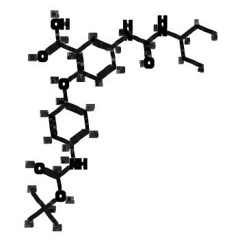 CCC(CC)NC(=O)Nc1ccc(Oc2ccc(NC(=O)OC(C)(C)C)cc2)c(C(=O)O)c1